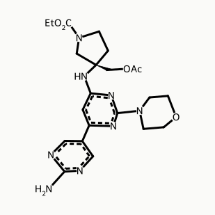 CCOC(=O)N1CC[C@](COC(C)=O)(Nc2cc(-c3cnc(N)nc3)nc(N3CCOCC3)n2)C1